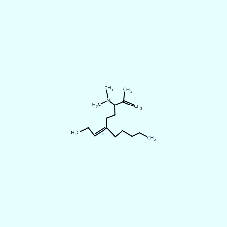 C=C(C)C(CC/C(=C\CC)CCCCC)N(C)C